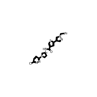 CC(C)Cn1cc(-c2cc(C(=O)N[C@@H]3CCN(c4ccc(Cl)nn4)C3)cs2)cn1